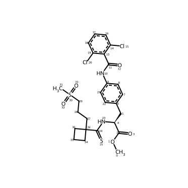 COC(=O)[C@H](Cc1ccc(NC(=O)c2c(Cl)cccc2Cl)cc1)NC(=S)C1(CCCS(C)(=O)=O)CCC1